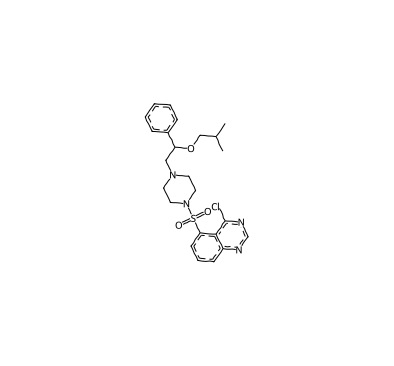 CC(C)COC(CN1CCN(S(=O)(=O)c2cccc3ncnc(Cl)c23)CC1)c1ccccc1